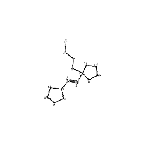 CCCCC1(N=NC2CCCC2)CCCC1